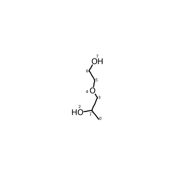 C[C](O)COCCO